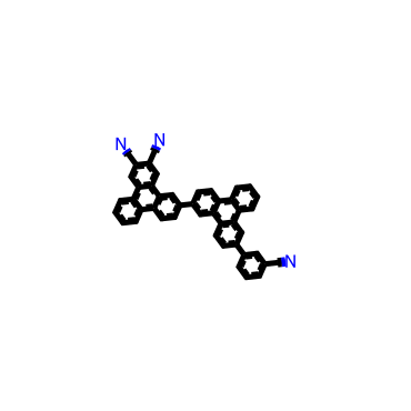 N#Cc1cccc(-c2ccc3c(c2)c2ccccc2c2ccc(-c4ccc5c6ccccc6c6cc(C#N)c(C#N)cc6c5c4)cc23)c1